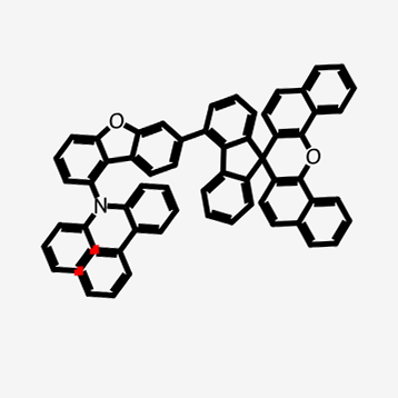 c1ccc(-c2ccccc2N(c2ccccc2)c2cccc3oc4cc(-c5cccc6c5-c5ccccc5C65c6ccc7ccccc7c6Oc6c5ccc5ccccc65)ccc4c23)cc1